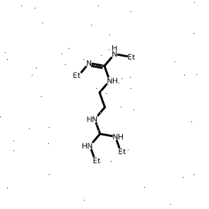 CC/N=C(/NCC)NCCNC(NCC)NCC